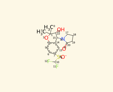 CC1(C)Oc2ccc([S+]([O-])C(F)F)cc2C(N2CCCC2=O)C1O